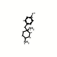 NC1CCC(N)(Cc2ccc(F)cc2)CC1